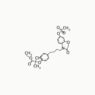 CCOC(=O)C(C)(C)Oc1ccc(CCCCN2C(=O)COc3cc(OS(C)(=O)=O)ccc32)cc1